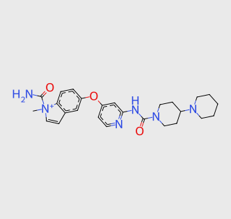 C[N+]1(C(N)=O)C=Cc2cc(Oc3ccnc(NC(=O)N4CCC(N5CCCCC5)CC4)c3)ccc21